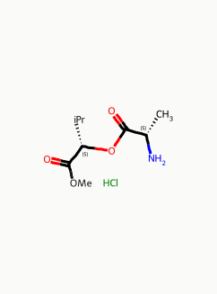 COC(=O)[C@@H](OC(=O)[C@H](C)N)C(C)C.Cl